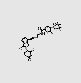 Cc1nc(C(=O)NCCC#Cc2cccc3c2CN(C2CCC(=O)NC2=O)C3=O)ccc1B1OC(C)(C)C(C)(C)O1